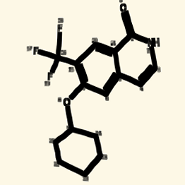 O=c1[nH]ccc2cc(OC3CCCCC3)c(C(F)(F)F)cc12